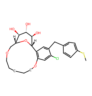 CSc1ccc(Cc2cc3c(cc2Cl)OCCCCCOC[C@H]2O[C@@H]3[C@H](O)[C@@H](O)[C@@H]2O)cc1